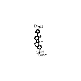 CCN(CC)c1ccc(-c2ccc3c4c([nH]c3c2F)C2=C(CC4)CC(NC(=O)OC)C=C2)cc1